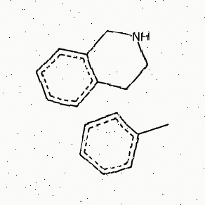 Cc1ccccc1.c1ccc2c(c1)CCNC2